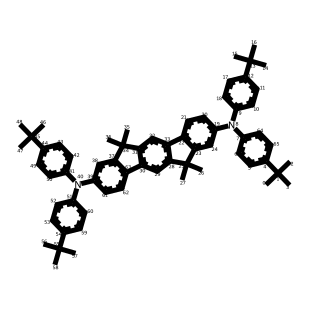 CC(C)(C)c1ccc(N(c2ccc(C(C)(C)C)cc2)c2ccc3c(c2)C(C)(C)c2cc4c(cc2-3)C(C)(C)c2cc(N(c3ccc(C(C)(C)C)cc3)c3ccc(C(C)(C)C)cc3)ccc2-4)cc1